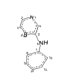 b1ccncc1Nc1ccccc1